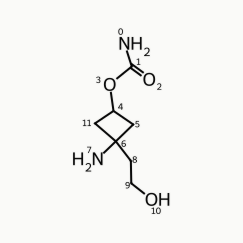 NC(=O)OC1CC(N)(CCO)C1